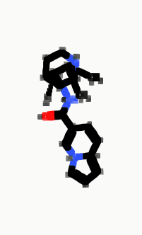 CC1(C)[C@@H](NC(=O)c2ccc3cccn3c2)C2CCN1CC2